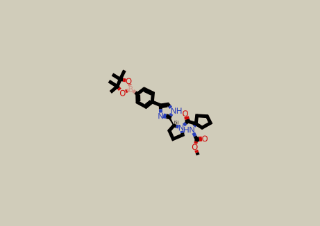 COC(=O)NC1(C(=O)N2CCC[C@H]2c2nc(-c3ccc(B4OC(C)(C)C(C)(C)O4)cc3)c[nH]2)CCCC1